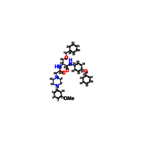 COc1cccc(N2CCN(CC(=O)NC(COCc3ccccc3)C(=O)Nc3ccc(Oc4ccccc4)cc3)CC2)c1